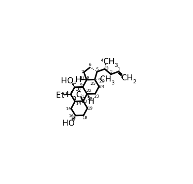 C=CC[C@@H](C)[C@H]1CC[C@H]2C3[C@H](O)[C@H](CC)C4C[C@H](O)CCC4(C)[C@H]3CC[C@]12C